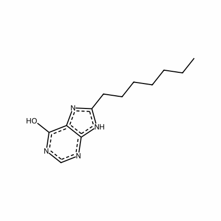 CCCCCCCc1nc2c(O)ncnc2[nH]1